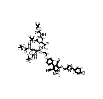 CC(C)(C)OC(=O)NCCC(NC(=O)OC(C)(C)C)C(=O)O[C@H](COC(=O)[C@H](CCNC(=O)OC(C)(C)C)NC(=O)OC(C)(C)C)COc1ccc(-c2c(C#N)c(N)nc(SCc3coc(-c4ccc(Cl)cc4)n3)c2C#N)cc1